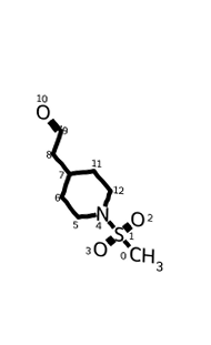 CS(=O)(=O)N1CCC(C[C]=O)CC1